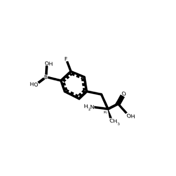 C[C@@](N)(Cc1ccc(B(O)O)c(F)c1)C(=O)O